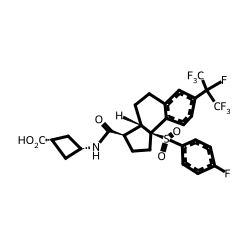 O=C(N[C@H]1C[C@@H](C(=O)O)C1)[C@@H]1CC[C@@]2(S(=O)(=O)c3ccc(F)cc3)c3ccc(C(F)(C(F)(F)F)C(F)(F)F)cc3CC[C@@H]12